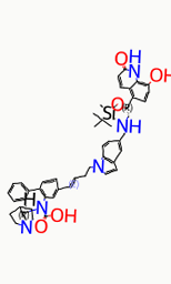 CC(C)(C)[Si](C)(C)O[C@@H](CNCc1ccc2c(ccn2CC/C=C/c2ccc(-c3ccccc3)c(N(C(=O)O)[C@H]3CN4CCC3CC4)c2)c1)c1ccc(O)c2[nH]c(=O)ccc12